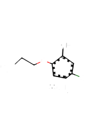 Cc1cc(Cl)ccc1OCCC(=O)O.[MgH2]